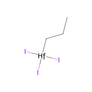 CC[CH2][Hf]([I])([I])[I]